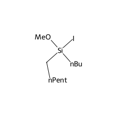 CCCCCC[Si](I)(CCCC)OC